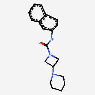 O=C(Nc1ccc2ccccc2c1)N1CC(N2CCCCC2)C1